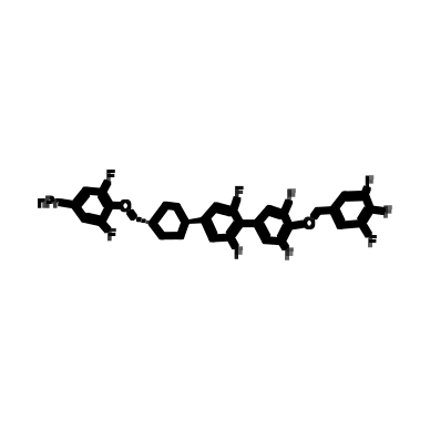 CCCc1cc(F)c(OC[C@H]2CC[C@H](c3cc(F)c(-c4cc(F)c(OCc5cc(F)c(F)c(F)c5)c(F)c4)c(F)c3)CC2)c(F)c1